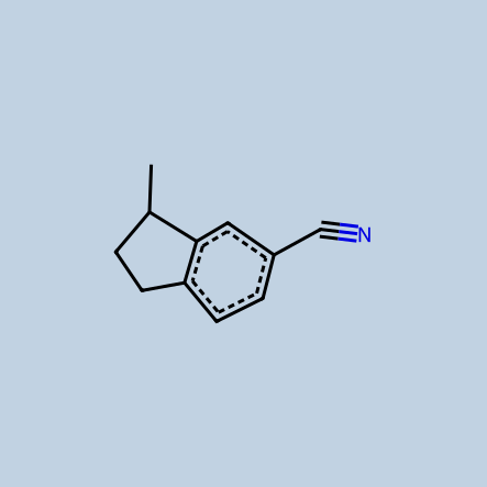 CC1CCc2ccc(C#N)cc21